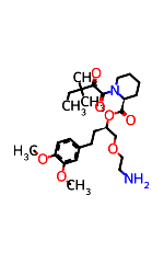 CCC(C)(C)C(=O)C(=O)N1CCCC[C@H]1C(=O)O[C@H](CCc1ccc(OC)c(OC)c1)COCCN